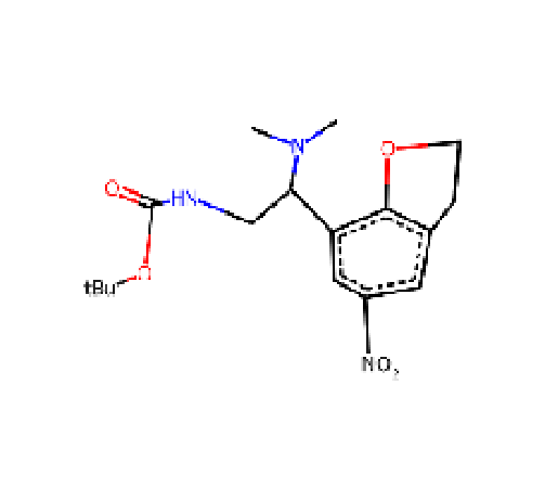 CN(C)C(CNC(=O)OC(C)(C)C)c1cc([N+](=O)[O-])cc2c1OCC2